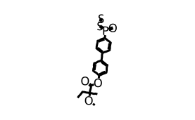 CCC(C)(OC)C(=O)Oc1ccc(-c2ccc(P(=O)=S=S)cc2)cc1